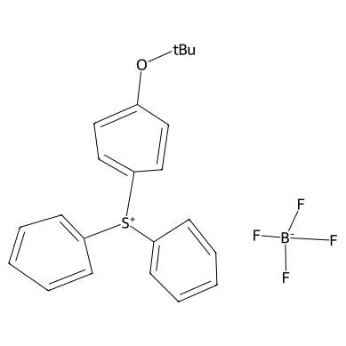 CC(C)(C)Oc1ccc([S+](c2ccccc2)c2ccccc2)cc1.F[B-](F)(F)F